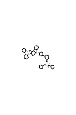 c1ccc(-c2nc(-c3ccccc3)nc(-c3cccc(-c4ccc(-n5c6ccccc6c6c7cc8c9ccccc9c9ccccc9n8c7ccc65)cc4)c3)n2)cc1